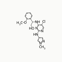 COc1ccccc1C(CO)Nc1nc(Nc2cnn(C)c2)ncc1Cl